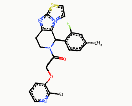 CCc1ncccc1OCC(=O)N1CCc2nc3sccn3c2C1c1ccc(C)cc1F